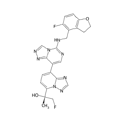 C[C@](O)(CF)c1ccc(-c2cnc(NCc3c(F)ccc4c3CCO4)n3cnnc23)c2ncnn12